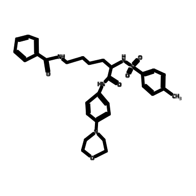 Cc1ccc(S(=O)(=O)NC(CCCCNC(=O)c2ccccc2)C(=O)Nc2ccc(N3CCOCC3)cc2)cc1